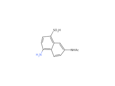 CC(=O)Nc1ccc2c(N)ccc(S(=O)(=O)O)c2c1